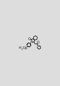 COc1ccc(N2C(=O)C3=C(CCCC3)C2CC(=O)N2CCCC2)cc1